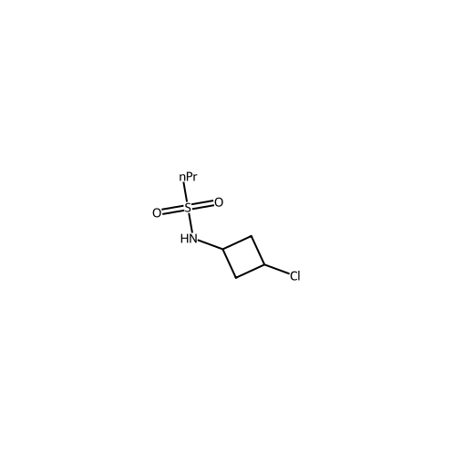 CCCS(=O)(=O)NC1CC(Cl)C1